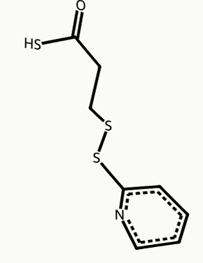 O=C(S)CCSSc1ccccn1